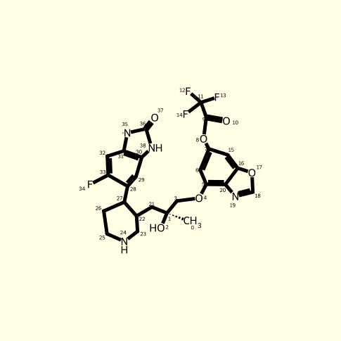 C[C@@](O)(COc1cc(OC(=O)C(F)(F)F)cc2ocnc12)CC1CNCCC1c1cc2c(cc1F)[N]C(=O)N2